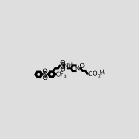 O=C(O)CCCC(=O)N1CCC(CNS(=O)(=O)CC=Cc2cc(S(=O)(=O)c3ccccc3)ccc2C(F)(F)F)CC1